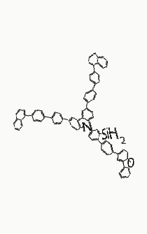 c1ccc2c(-c3ccc(-c4ccc(-c5ccc6c(c5)c5cc(-c7ccc(-c8ccc(-c9cccc%10ccccc9%10)cc8)cc7)ccc5n6-c5ccc6c(c5)[SiH2]c5cc(-c7ccc8oc9ccccc9c8c7)ccc5-6)cc4)cc3)cccc2c1